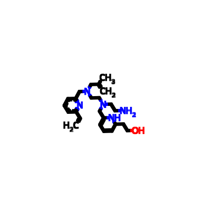 C=Cc1cccc(CN(CCN(CCN)CC2=CC=CC(CCO)N2)CC(=C)C)n1